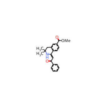 COC(=O)c1ccc2c(c1)CC(C)(C)NC2=CC(=O)c1ccccc1